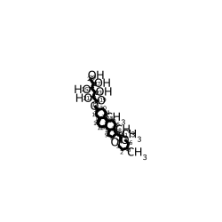 C[C@@H]1CC[C@@]2(OC1)OC1CC3C4CC=C5CC(OC(=O)C(O)C(O)C(O)C(O)CO)CCC5(C)C4CCC3(C)C1[C@@H]2C